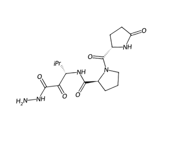 CC(C)[C@H](NC(=O)[C@@H]1CCCN1C(=O)[C@@H]1CCC(=O)N1)C(=O)C(=O)NN